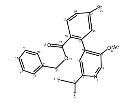 COc1cnc(C(F)F)cc1-c1cc(Br)ccc1C(=O)OCc1ccccc1